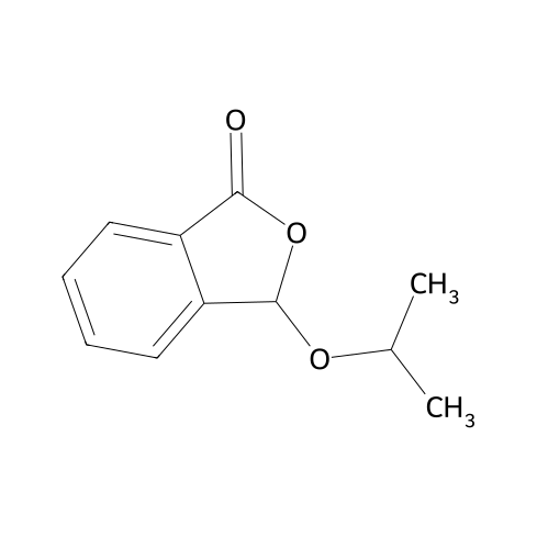 CC(C)OC1OC(=O)c2ccccc21